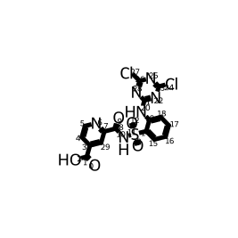 O=C(O)c1ccnc(C(=O)NS(=O)(=O)c2ccccc2Nc2nc(Cl)nc(Cl)n2)c1